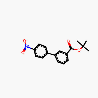 CC(C)(C)OC(=O)c1cccc(-c2ccc([N+](=O)[O-])cc2)c1